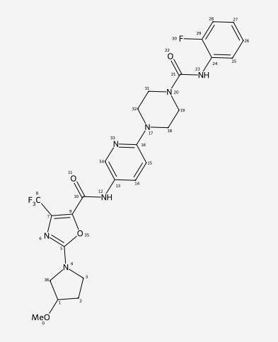 COC1CCN(c2nc(C(F)(F)F)c(C(=O)Nc3ccc(N4CCN(C(=O)Nc5ccccc5F)CC4)nc3)o2)C1